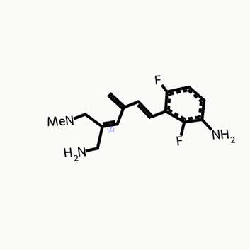 C=C(C=Cc1c(F)ccc(N)c1F)/C=C(/CN)CNC